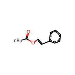 CCCCC(=O)OC=Cc1ccccc1